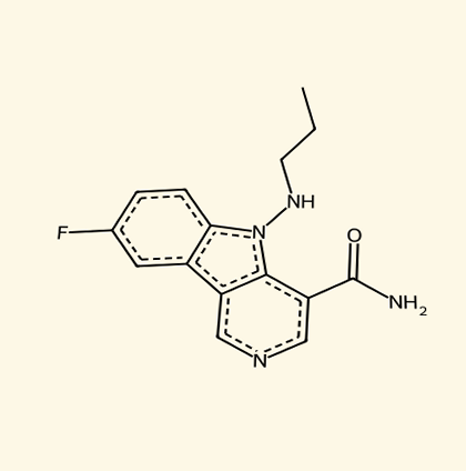 CCCNn1c2ccc(F)cc2c2cncc(C(N)=O)c21